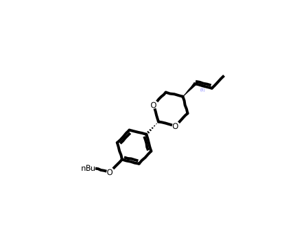 C/C=C/[C@H]1CO[C@H](c2ccc(OCCCC)cc2)OC1